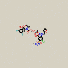 CC(OC(=O)c1cc(S(N)(=O)=O)c(Cl)cc1NCc1ccco1)C(=O)OCOC(=O)N1[C@H](C)CO[C@@](O)(c2cc(F)cc(F)c2)[C@@H]1C